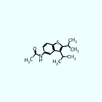 CC(=O)Nc1ccc2sc(C(C)C)c(C(C)C)c2c1